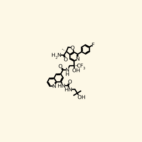 CC(C)(O)CNC(=O)Nc1cc(C(=O)NC[C@](O)(c2cc3c(c(-c4ccc(F)cc4)n2)OC[C@]3(C)C(N)=O)C(F)(F)F)cc2cccnc12